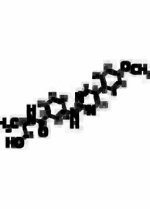 COc1ccc(-c2cnc(Nc3cccc(C(=O)N[C@@H](C)CO)c3)nc2)cc1